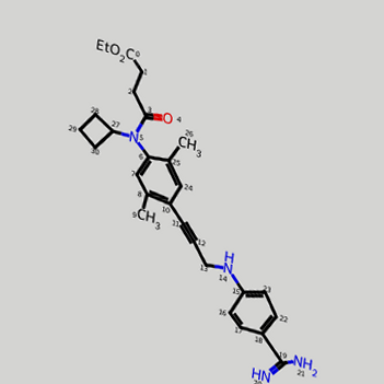 CCOC(=O)CCC(=O)N(c1cc(C)c(C#CCNc2ccc(C(=N)N)cc2)cc1C)C1CCC1